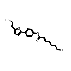 CCCCC/C=C/C(=O)Oc1ccc(-c2ccc(CCC)s2)cc1